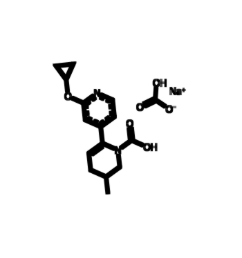 CC1CC=C(c2ccnc(OC3CC3)c2)N(C(=O)O)C1.O=C([O-])O.[Na+]